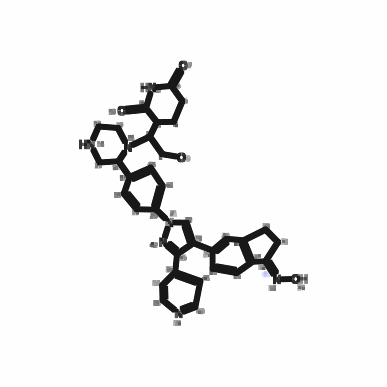 [O]CC(C1CCC(=O)NC1=O)N1CCNCC1c1ccc(-n2cc(-c3ccc4c(c3)CC/C4=N\O)c(-c3ccncc3)n2)cc1